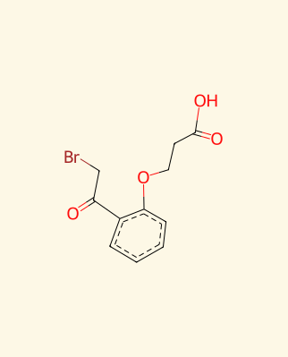 O=C(O)CCOc1ccccc1C(=O)CBr